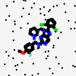 COc1ccc(CNc2ncc3nc(-c4c(Cl)cccc4Cl)n(C[C@@H]4CCCNC4)c3n2)cc1F